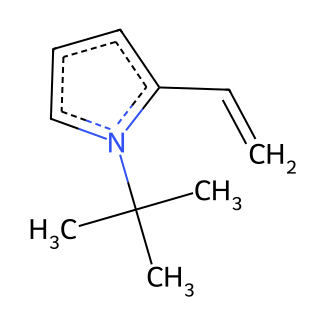 C=Cc1cccn1C(C)(C)C